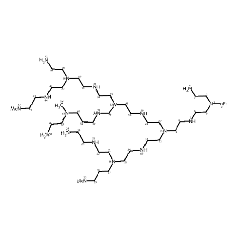 CCCN(CCN)CCNCCN(CCNCCN(CCCNC)CCNCCN)CCNCCN(CCNCCN(CCN)CCNCCNC)CNCCCN(C)CCN